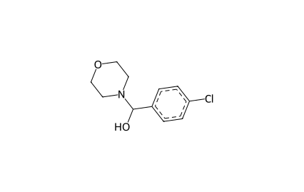 OC(c1ccc(Cl)cc1)N1CCOCC1